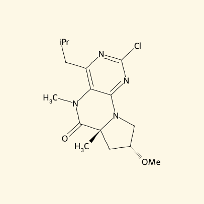 CO[C@H]1CN2c3nc(Cl)nc(CC(C)C)c3N(C)C(=O)[C@@]2(C)C1